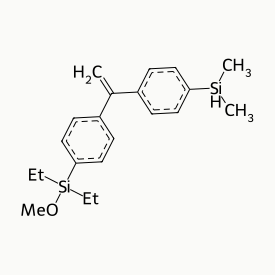 C=C(c1ccc([SiH](C)C)cc1)c1ccc([Si](CC)(CC)OC)cc1